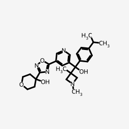 CC(C)c1ccc(C(O)(c2cncc(-c3nc(C4(O)CCOCC4)no3)c2)C2(C)CN(C)C2)cc1